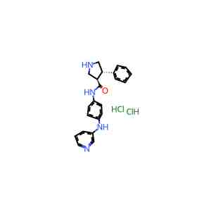 Cl.Cl.O=C(Nc1ccc(Nc2cccnc2)cc1)[C@H]1CNC[C@@H]1c1ccccc1